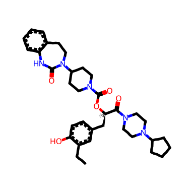 CCc1cc(C[C@@H](OC(=O)N2CCC(N3CCc4ccccc4NC3=O)CC2)C(=O)N2CCN(C3CCCC3)CC2)ccc1O